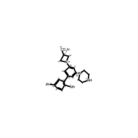 C1CNCCN1.CCCc1ccc(C(C)C)cc1-c1cccc(N2CC(C(=O)O)C2)c1